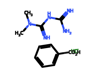 CN(C)C(=N)NC(=N)N.Cl.O=C(O)c1ccccc1